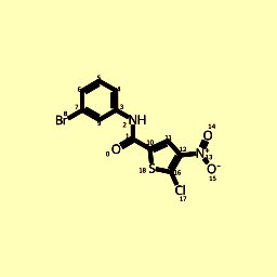 O=C(Nc1cccc(Br)c1)c1cc([N+](=O)[O-])c(Cl)s1